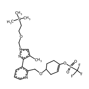 Cc1cn(COCC[Si](C)(C)C)nc1-c1cccnc1COC1CC=C(OS(=O)(=O)C(F)(F)F)CC1